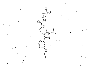 CC(C)n1nc(-c2cccc(OC(F)F)c2)c2c1C[C@H](C(=O)NC1(C)CS(=O)(=O)C1)CC2